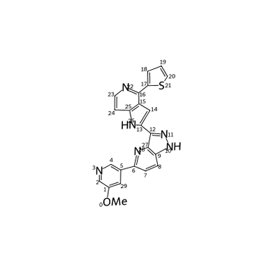 COc1cncc(-c2ccc3[nH]nc(-c4cc5c(-c6cccs6)nccc5[nH]4)c3n2)c1